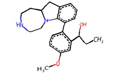 CCC(O)c1cc(OC)ccc1-c1cccc2c1N1CCNCCC1C2